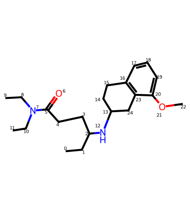 CCC(CCC(=O)N(CC)CC)NC1CCc2cccc(OC)c2C1